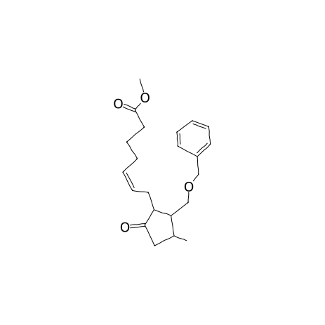 COC(=O)CCC/C=C\CC1C(=O)CC(C)C1COCc1ccccc1